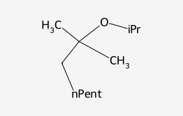 CCCCCCC(C)(C)OC(C)C